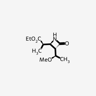 CCOC(=O)[C@H](C)[C@H]1NC(=O)[C@@H]1[C@@H](C)OC